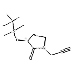 C#CCN1CC[C@H](O[Si](C)(C)C(C)(C)C)C1=O